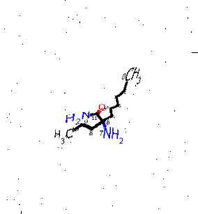 CCCCCCC(N)(CCC)C(N)=O